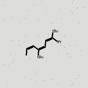 C\C=C/C(=C\C=C(/C(C)C)C(C)(C)C)C(C)(C)C